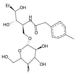 CC[C@@H](O)[C@@H](O)[C@H](CO[C@H]1OC(CO)[C@H](F)C(O)[C@@H]1O)NC(=O)Cc1ccc(C)cc1